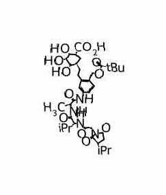 CC(C)C1CC(=O)N(CC(=O)N[C@H](C(=O)N[C@@H](C)C(=O)Nc2ccc(COC(=O)C(C)(C)C)c(CC[C@@H]3C[C@H](C(=O)O)[C@@H](O)[C@H](O)[C@H]3O)c2)C(C)C)C1=O